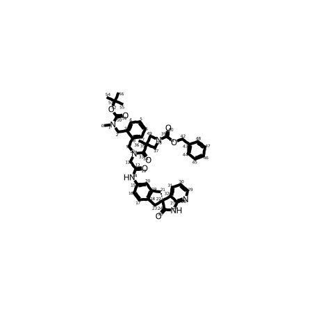 CN(Cc1ccccc1CN(CC(=O)Nc1ccc2c(c1)C[C@@]1(C2)C(=O)Nc2ncccc21)C(=O)C1(C)CN(C(=O)OCc2ccccc2)C1)C(=O)OC(C)(C)C